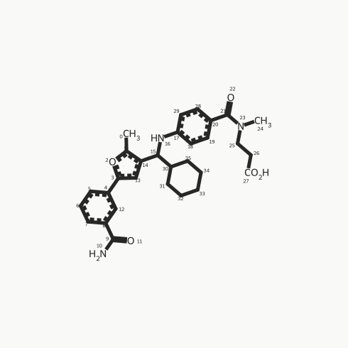 Cc1oc(-c2cccc(C(N)=O)c2)cc1C(Nc1ccc(C(=O)N(C)CCC(=O)O)cc1)C1CCCCC1